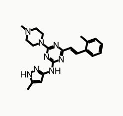 Cc1cc(Nc2nc(/C=C/c3ccccc3C)nc(N3CCN(C)CC3)n2)n[nH]1